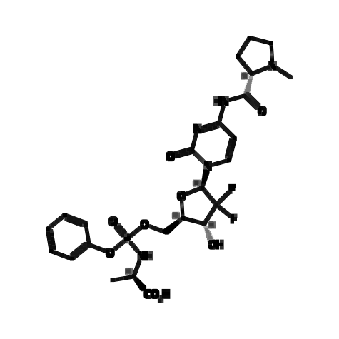 C[C@@H](NP(=O)(OC[C@H]1O[C@@H](n2ccc(NC(=O)[C@@H]3CCCN3C)nc2=O)C(F)(F)[C@@H]1O)Oc1ccccc1)C(=O)O